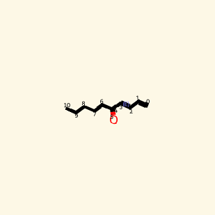 C=C/C=C/C(=O)CCCCC